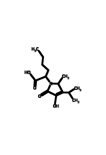 CCCCC(C(=O)O)N1C(=O)C(O)=C(C(C)C)C1C